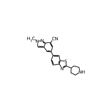 Cn1cc2cc(-c3ccc4nc(C5CCNCC5)sc4c3)cc(C#N)c2n1